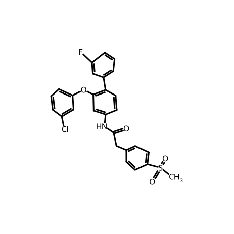 CS(=O)(=O)c1ccc(CC(=O)Nc2ccc(-c3cccc(F)c3)c(Oc3cccc(Cl)c3)c2)cc1